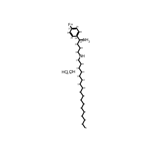 CCCCCCCCCCCCCCCCCCNCCCC(N)c1ccc(F)cc1.Cl.Cl